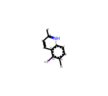 CC(=N)/C=C\c1cccc(C)c1I